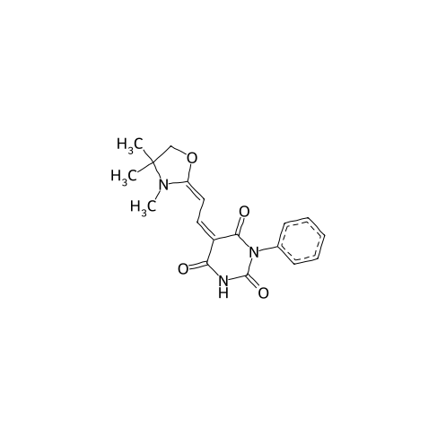 CN1C(=CC=C2C(=O)NC(=O)N(c3ccccc3)C2=O)OCC1(C)C